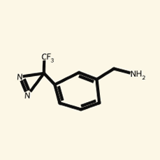 NCc1cccc(C2(C(F)(F)F)N=N2)c1